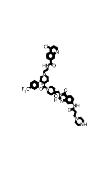 O=C(CCN1CCNCC1)Nc1ccc2c(=O)n(CC3(O)CCN(C(=O)[C@@H]4CCN(CCNC(=O)c5ccc6c(Cl)ccnc6c5)C[C@H]4c4ccc(C(F)(F)F)cc4)CC3)cnc2c1